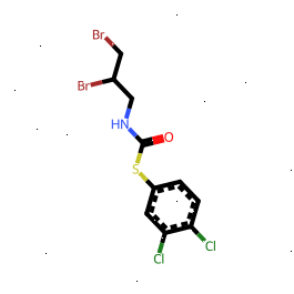 O=C(NCC(Br)CBr)Sc1ccc(Cl)c(Cl)c1